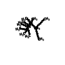 CCCCCCC1=C(c2cc(CCCCCC)c(CCCC)c(CCCCCC)c2)[N+](=[N-])C(c2cc(CCCCCC)c(CCCC)c(CCCCCC)c2)=C1CCCCCC.CCCCCCCCCCC[CH2][Ni][CH2]CCCCCCCCCCC